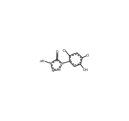 CCCn1nnn(-c2cc(O)c(Cl)cc2Cl)c1=O